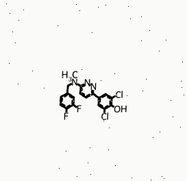 CN(Cc1ccc(F)c(F)c1)c1ccc(-c2cc(Cl)c(O)c(Cl)c2)nn1